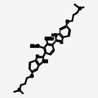 COc1c(-c2nc3ccc(OCCCN(C)C)cc3[nH]2)ccc(-c2nc3ccc(OCCCN(C)C)cc3[nH]2)c1OC